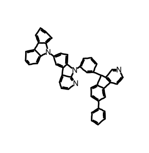 c1ccc(-c2ccc3c(c2)-c2ccncc2C3c2cccc(-n3c4ccc(-n5c6ccccc6c6ccccc65)cc4c4cccnc43)c2)cc1